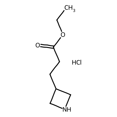 CCOC(=O)CCC1CNC1.Cl